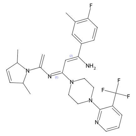 C=C(/N=C(\C=C(/N)c1ccc(F)c(C)c1)N1CCN(c2ncccc2C(F)(F)F)CC1)N1C(C)C=CC1C